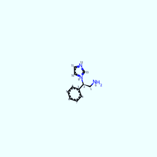 NC[C@@H](c1ccccc1)n1ccnc1